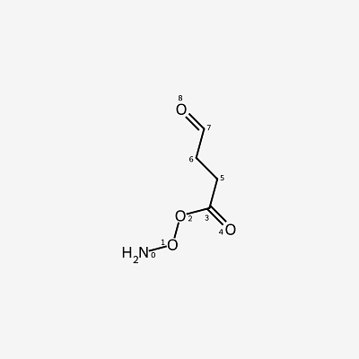 NOOC(=O)CCC=O